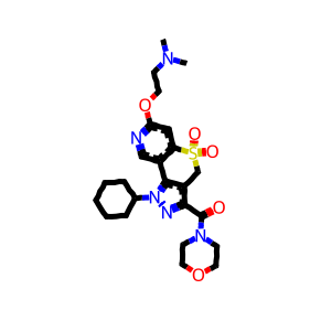 CN(C)CCOc1cc2c(cn1)-c1c(c(C(=O)N3CCOCC3)nn1C1CCCCC1)CS2(=O)=O